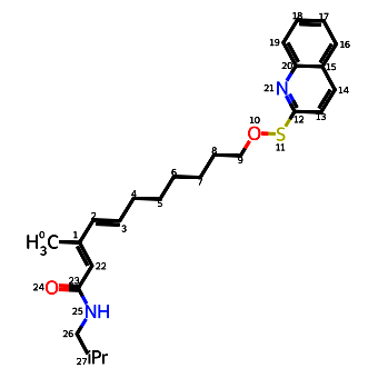 CC(C=CCCCCCCOSc1ccc2ccccc2n1)=CC(=O)NCC(C)C